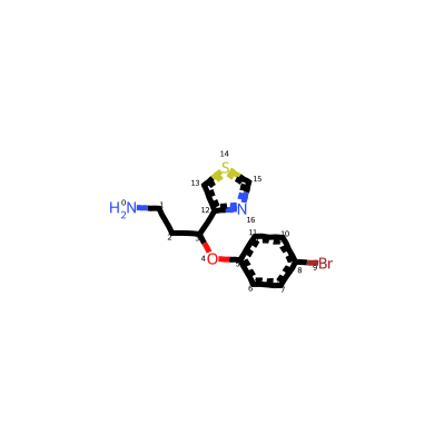 NCCC(Oc1ccc(Br)cc1)c1cscn1